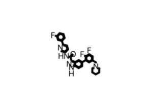 O=C(Nc1ccc(-c2cccc(F)c2)nc1)c1n[nH]c2ccc(-c3cc(CN4CCCCC4)cc(F)c3F)cc12